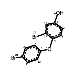 Oc1ccc(Oc2ccc(Br)cc2)c(Br)c1